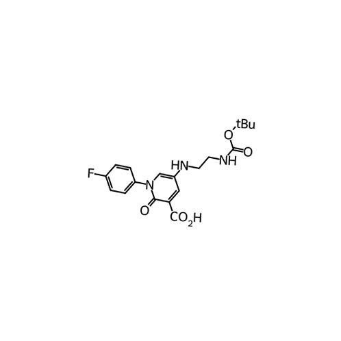 CC(C)(C)OC(=O)NCCNc1cc(C(=O)O)c(=O)n(-c2ccc(F)cc2)c1